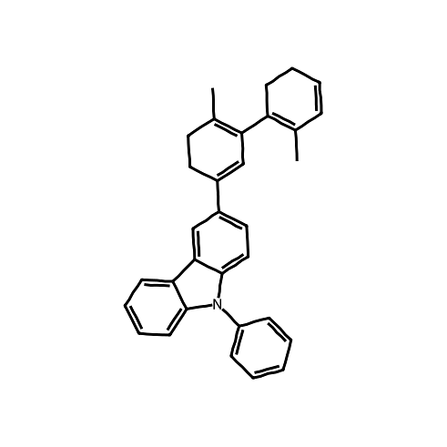 CC1=C(C2=C(C)CCC(c3ccc4c(c3)c3ccccc3n4-c3ccccc3)=C2)CCC=C1